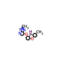 Cc1ccc2c(c1)Pc1c(cccc1Oc1ccnc3nn(C)nc13)O2